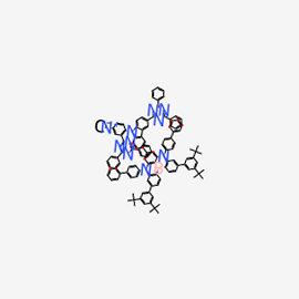 [C-]#[N+]c1ccc(-n2c3ccc(-c4cc5c6c(c4)N(c4ccc(-c7ccccc7)cc4)c4cc(-c7cc(C(C)(C)C)cc(C(C)(C)C)c7)ccc4B6c4ccc(-c6cc(C(C)(C)C)cc(C(C)(C)C)c6)cc4N5c4ccc(-c5ccccc5)cc4)cc3c3cc(-c4nc(-c5ccccc5)nc(-c5ccccc5)n4)ccc32)c(-c2nc(-c3ccccc3)nc(-c3ccccc3)n2)c1